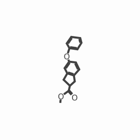 COC(=O)C1Cc2ccc(Oc3ccccc3)cc2C1